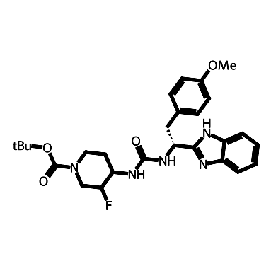 COc1ccc(C[C@@H](NC(=O)NC2CCN(C(=O)OC(C)(C)C)CC2F)c2nc3ccccc3[nH]2)cc1